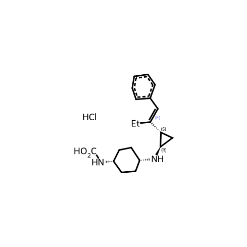 CC/C(=C\c1ccccc1)[C@@H]1C[C@H]1N[C@H]1CC[C@@H](NC(=O)O)CC1.Cl